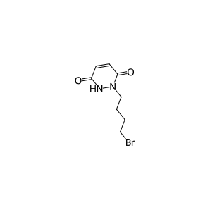 O=c1ccc(=O)n(CCCCBr)[nH]1